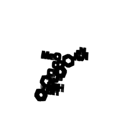 COC(=O)C1(c2ccc(CN3[C@@H](C)CC[C@H](c4ccccc4)S3(O)O)cc2)CCC(n2cnnc2)CC1